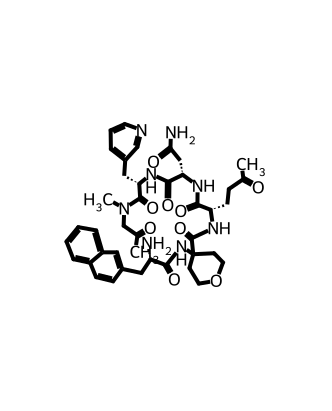 CC(=O)CC[C@H](NC(=O)C1(NC(=O)[C@@H](N)Cc2ccc3ccccc3c2)CCOCC1)C(=O)N[C@@H](CC(N)=O)C(=O)N[C@@H](Cc1cccnc1)C(=O)N(C)CC(C)=O